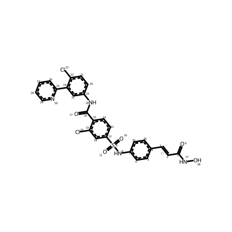 O=C(/C=C/c1ccc(NS(=O)(=O)c2ccc(C(=O)Nc3ccc(Cl)c(-c4ccccn4)c3)c(Cl)c2)cc1)NO